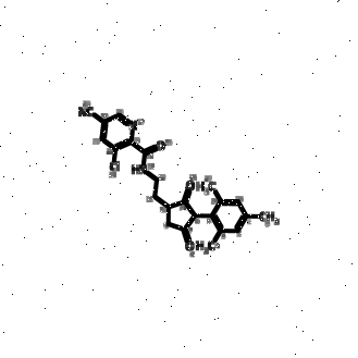 Cc1cc(C)c(C2C(=O)CC(CCNC(=O)c3ncc(C#N)cc3Cl)C2=O)c(C)c1